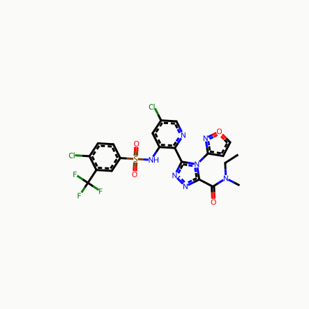 CCN(C)C(=O)c1nnc(-c2ncc(Cl)cc2NS(=O)(=O)c2ccc(Cl)c(C(F)(F)F)c2)n1-c1ccon1